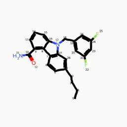 CCCCc1c[c]c2c3c(C(N)=O)cccc3n(Cc3cc(F)cc(F)c3)c2c1